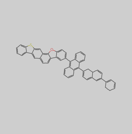 C1=CCCC(C2=CC3=CC=C(c4c5ccccc5c(-c5ccc6oc7c8cc9sc%10ccccc%10c9cc8ccc7c6c5)c5ccccc45)CC3C=C2)=C1